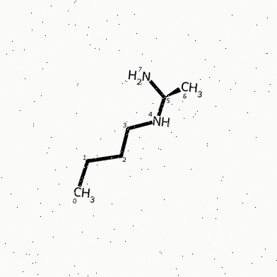 CCCCN[C@H](C)N